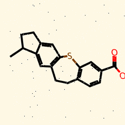 CC1CCc2cc3c(cc21)CCc1ccc(C(=O)O)cc1S3